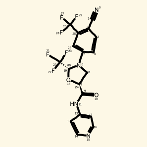 N#Cc1ccc(N2C[C@@H](C(=O)Nc3ccncc3)O[C@@H]2C(F)(F)F)cc1C(F)(F)F